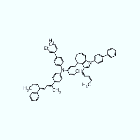 C/C=C\C=C/c1cn(-c2ccc(-c3ccccc3)cc2)c2c1C(C/C=C(\C=C/C)N(c1ccc(/C(C)=C/C=C(\C=C/C)c3ccccc3)cc1)c1ccc(C(/C=C\C)=C/CC)cc1)CCC=C2